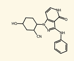 N#CC1CC(O)CCC1n1nc(Nc2ccccc2)c2c(=O)[nH]ccc21